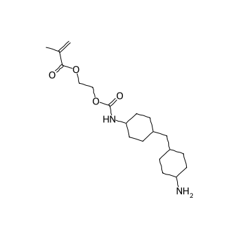 C=C(C)C(=O)OCCOC(=O)NC1CCC(CC2CCC(N)CC2)CC1